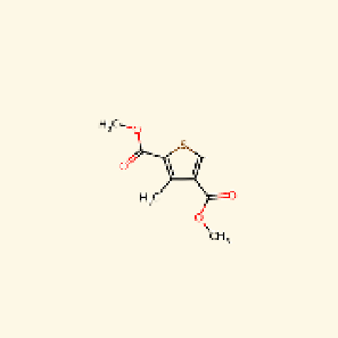 COC(=O)c1[c]sc(C(=O)OC)c1C